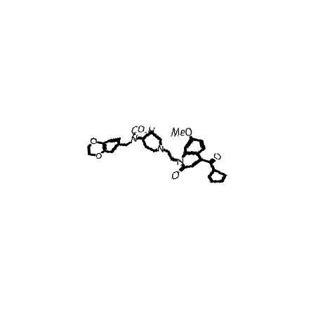 COc1ccc2c(C(=O)C3CCCC3)cc(=O)n(CCN3CCC(N(Cc4ccc5c(c4)OCCO5)C(=O)O)CC3)c2c1